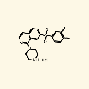 Cc1ccc(S(=O)(=O)c2ccc3ccnc(N4CCNCC4)c3c2)cc1C.Cl